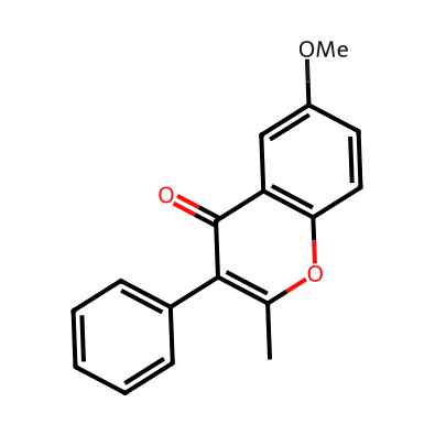 COc1ccc2oc(C)c(-c3ccccc3)c(=O)c2c1